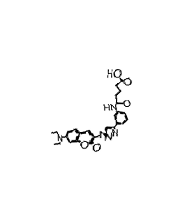 CCN(CC)c1ccc2cc(-n3cc(-c4cccc(NC(=O)CCCC(=O)O)c4)nn3)c(=O)oc2c1